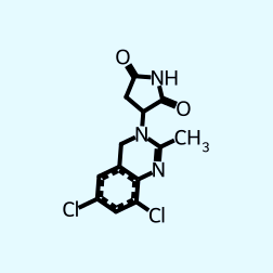 CC1=Nc2c(Cl)cc(Cl)cc2CN1C1CC(=O)NC1=O